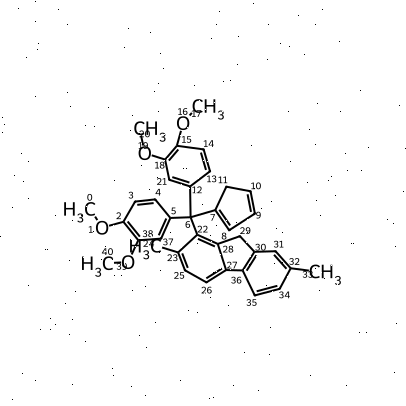 COc1ccc(C(C2=CC=CC2)(c2ccc(OC)c(OC)c2)c2c(C)ccc3c2Cc2cc(C)ccc2-3)cc1OC